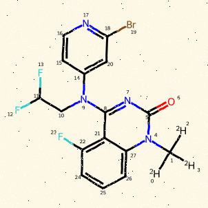 [2H]C([2H])([2H])n1c(=O)nc(N(CC(F)F)c2ccnc(Br)c2)c2c(F)cccc21